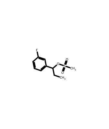 CCC(OS(C)(=O)=O)c1cccc(F)c1